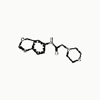 O=C(CN1CCSCC1)Nc1ccc2c(c1)COC=N2